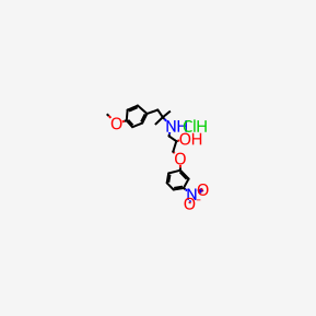 COc1ccc(CC(C)(C)NCC(O)COc2cccc([N+](=O)[O-])c2)cc1.Cl